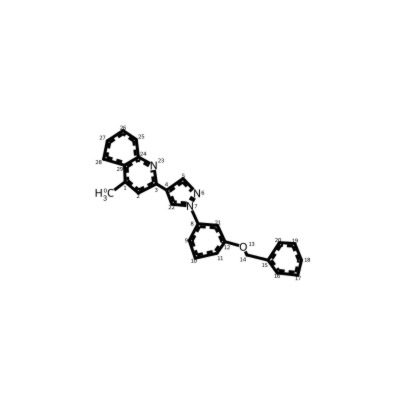 Cc1cc(-c2cnn(-c3cccc(OCc4ccccc4)c3)c2)nc2ccccc12